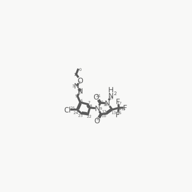 CCON=NCc1cc(-n2c(=O)cc(C(F)(F)F)n(N)c2=O)ccc1Cl